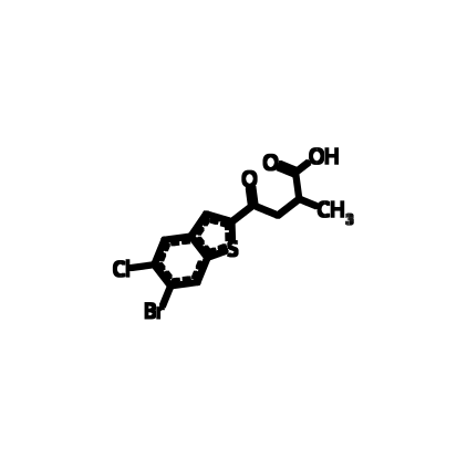 CC(CC(=O)c1cc2cc(Cl)c(Br)cc2s1)C(=O)O